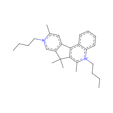 CCCC[n+]1cc2c(cc1C)-c1c(c(C)[n+](CCCC)c3ccccc13)C2(C)C